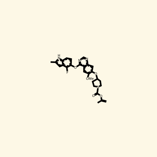 C=C(C)OC(=O)N1CCC(Oc2cc3ncnc(Oc4ccc5[nH]c(C)cc5c4F)c3cc2OC)CC1